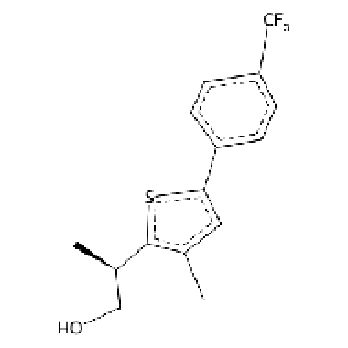 Cc1cc(-c2ccc(C(F)(F)F)cc2)sc1[C@H](C)CO